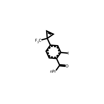 CCCC(=O)c1ccc(C2(C(F)(F)F)C=C2)cc1I